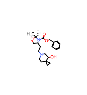 CC1(C)OCC(CCN2CCC3(CC3)C(O)C2)N1C(=O)OCc1ccccc1